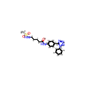 CC(C)S(=O)(=O)NCCCCC(=O)Nc1ccc(-c2nnnn2-c2ccccc2)cc1